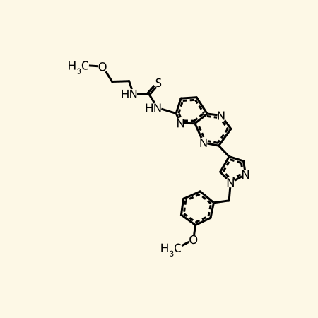 COCCNC(=S)Nc1ccc2ncc(-c3cnn(Cc4cccc(OC)c4)c3)nc2n1